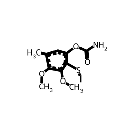 COc1c(C)cc(OC(N)=O)c(SI)c1OC